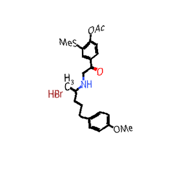 Br.COc1ccc(CCCC(C)NCC(=O)c2ccc(OC(C)=O)c(SC)c2)cc1